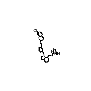 Clc1ccc2ccc(/C=C/c3cccc(CN4CCc5cccc(CCc6nnn[nH]6)c54)c3)nc2c1